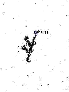 CCCCC/C=C\C/C=C\CCCCCCCC(=O)OCC(COC(=O)CCC(OCCCC1CCCCC1)OCCCC1CCCCC1)COC(=O)CCN1CCN(C)CC1